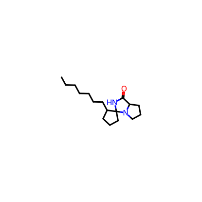 CCCCCCCC1CCCC12NC(=O)C1CCCN12